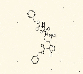 Cl.O=C(NS(=O)(=O)N1CCC(c2cc[nH]c2C(=O)OCc2ccccc2)CC1)OCc1ccccc1